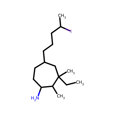 CCC1(C)CC(CCCC(C)I)CCC(N)C1C